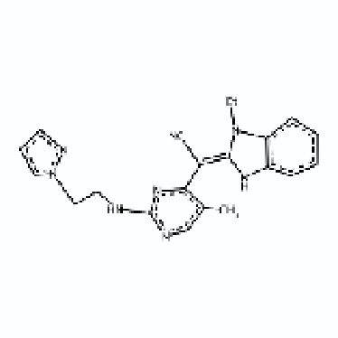 CCN1/C(=C(\C#N)c2nc(NCCn3cccn3)ncc2C)Nc2ccccc21